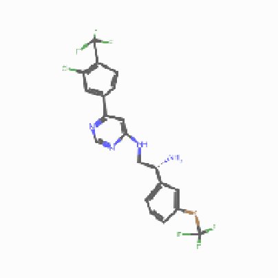 N[C@@H](CNc1cc(-c2ccc(C(F)(F)F)c(Cl)c2)ncn1)c1cccc(SC(F)(F)F)c1